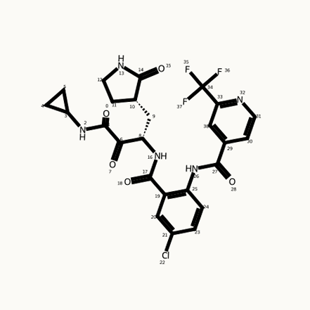 O=C(NC1CC1)C(=O)[C@H](C[C@@H]1CCNC1=O)NC(=O)c1cc(Cl)ccc1NC(=O)c1ccnc(C(F)(F)F)c1